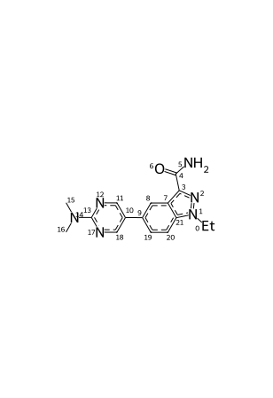 CCn1nc(C(N)=O)c2cc(-c3cnc(N(C)C)nc3)ccc21